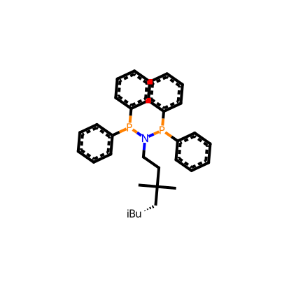 CC[C@@H](C)CC(C)(C)CCN(P(c1ccccc1)c1ccccc1)P(c1ccccc1)c1ccccc1